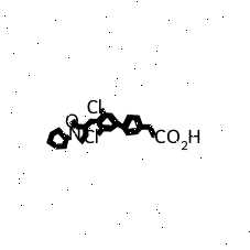 O=C(O)CCc1ccc(-c2cc(Cl)c(CC3CCN(C4CCCCC4)C3=O)c(Cl)c2)cc1